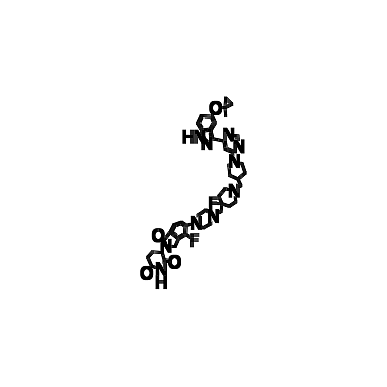 CC1(Oc2ccc3[nH]nc(-c4cc(N5CCC(CN6CCC(F)(CN7CCN(c8ccc9c(c8F)CN(C8CCC(=O)NC8=O)C9=O)CC7)CC6)CC5)ncn4)c3c2)CC1